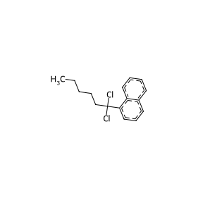 CCCCCC(Cl)(Cl)c1cccc2ccccc12